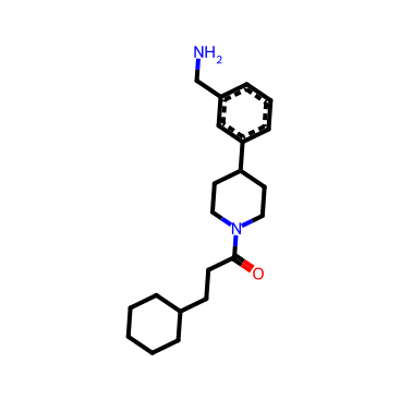 NCc1cccc(C2CCN(C(=O)CCC3CCCCC3)CC2)c1